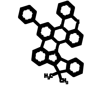 CC1(C)c2ccccc2-c2c1c1cccc3c1n2B1c2cccc4c2N(c2ccccc2S4)c2cc(-c4ccccc4)cc-3c21